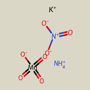 O=[N+]([O-])[O-].[K+].[NH4+].[O]=[Mn](=[O])(=[O])[O-]